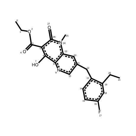 CCOC(=O)c1c(O)c2ncc(Cc3ccc(F)cc3CC)cc2n(C)c1=O